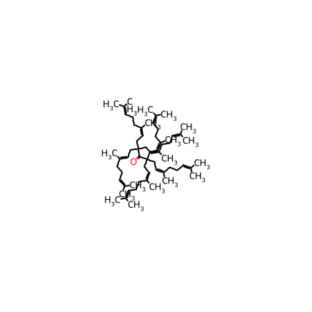 CC(C)=CCCC(C)=CCC(CC=C(C)CCC=C(C)C)(CC=C(C)CCC=C(C)C)C(=O)C(CC=C(C)CCC=C(C)C)(CC=C(C)CCC=C(C)C)CC=C(C)CCC=C(C)C